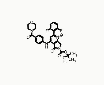 CC(C)(C)OC(=O)N1Cc2c(c(Nc3ccc(C(=O)N4CCOCC4)cc3)cc(-c3c(F)cccc3F)[n+]2[O-])C1=O